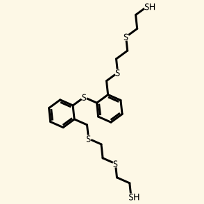 SCCSCCSCc1ccccc1Sc1ccccc1CSCCSCCS